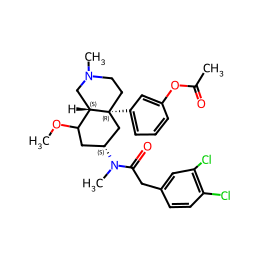 COC1C[C@@H](N(C)C(=O)Cc2ccc(Cl)c(Cl)c2)C[C@]2(c3cccc(OC(C)=O)c3)CCN(C)C[C@@H]12